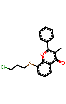 Cc1c(-c2ccccc2)oc2c(SCCCCl)cccc2c1=O